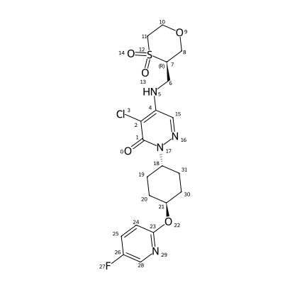 O=c1c(Cl)c(NC[C@@H]2COCCS2(=O)=O)cnn1[C@H]1CC[C@H](Oc2ccc(F)cn2)CC1